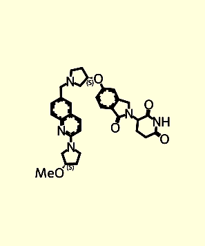 CO[C@H]1CCN(c2ccc3cc(CN4CC[C@H](Oc5ccc6c(c5)CN(C5CCC(=O)NC5=O)C6=O)C4)ccc3n2)C1